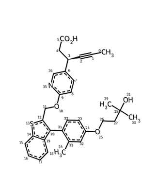 CC#C[C@H](CC(=O)O)c1ccc(OCc2sc3ccccc3c2-c2ccc(OCCC(C)(C)O)cc2C)nc1